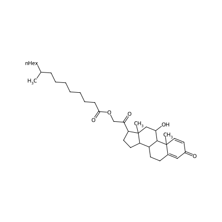 CCCCCCC(C)CCCCCCCC(=O)OCC(=O)C1CCC2C3CCC4=CC(=O)C=CC4(C)C3C(O)CC12C